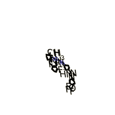 Cc1cccc(C)c1/N=C(/N/N=C/c1ccc(C2N=CN(c3ccc(OC(F)(F)F)cc3)N2)cc1)SCc1c(F)cccc1F